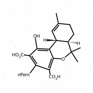 CCCCCc1c(C(=O)O)c(O)c2c(c1C(=O)O)OC(C)(C)[C@@H]1CCC(C)=C[C@@H]21